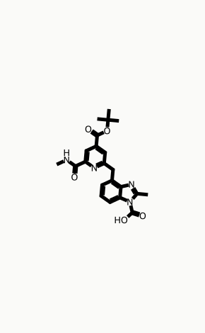 CNC(=O)c1cc(C(=O)OC(C)(C)C)cc(Cc2cccc3c2nc(C)n3C(=O)O)n1